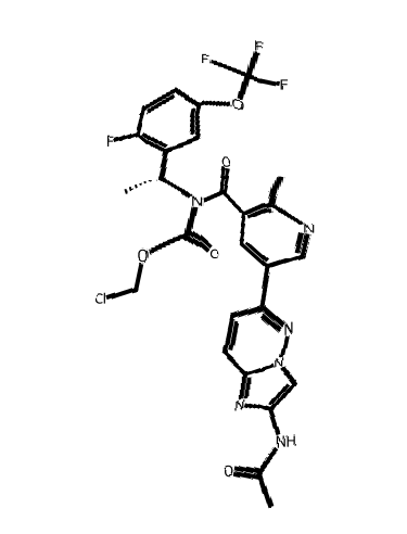 CC(=O)Nc1cn2nc(-c3cnc(C)c(C(=O)N(C(=O)OCCl)[C@H](C)c4cc(OC(F)(F)F)ccc4F)c3)ccc2n1